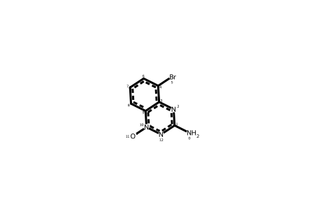 Nc1nc2c(Br)cccc2[n+]([O-])n1